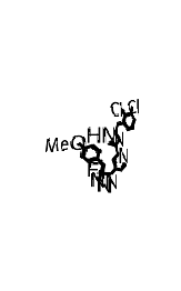 COc1ccc(CC2(F)N=NN=C2c2ccnc(-c3c[nH]c(Cc4cccc(Cl)c4Cl)n3)c2)cc1